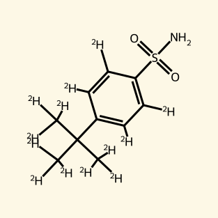 [2H]c1c([2H])c(S(N)(=O)=O)c([2H])c([2H])c1C(C([2H])([2H])[2H])(C([2H])([2H])[2H])C([2H])([2H])[2H]